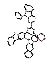 c1ccc(-c2nc(-c3ccc4c5ccccc5n(-c5ccccc5)c4c3)nc(-c3cc4oc5ccccc5c4cc3-n3c4ccccc4c4cc5ccccc5cc43)n2)cc1